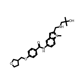 Cn1c(CNCC(C)(C)O)cc2cc(NC(=O)c3ccc(OCC4CCOC4)cc3)ccc21